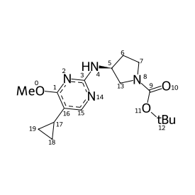 COc1nc(N[C@H]2CCN(C(=O)OC(C)(C)C)C2)ncc1C1CC1